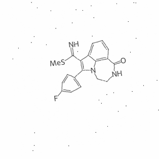 CSC(=N)c1c(-c2ccc(F)cc2)n2c3c(cccc13)C(=O)NCC2